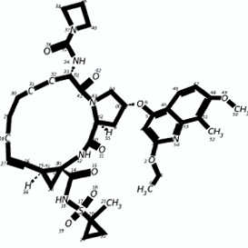 CCOc1cc(O[C@@H]2C[C@H]3C(=O)N[C@]4(C(=O)NS(=O)(=O)C5(C)CC5)C[C@H]4C=CCCCCC[C@H](NC(=O)N4CCC4)C(=O)N3C2)c2ccc(OC)c(C)c2n1